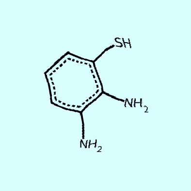 Nc1cccc(S)c1N